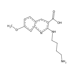 COc1ccc2cc(C(=O)O)c(NCCCCN)nc2c1